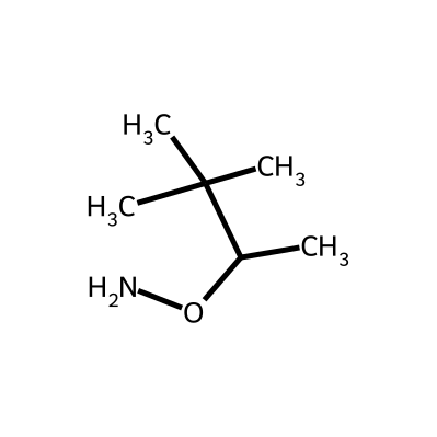 CC(ON)C(C)(C)C